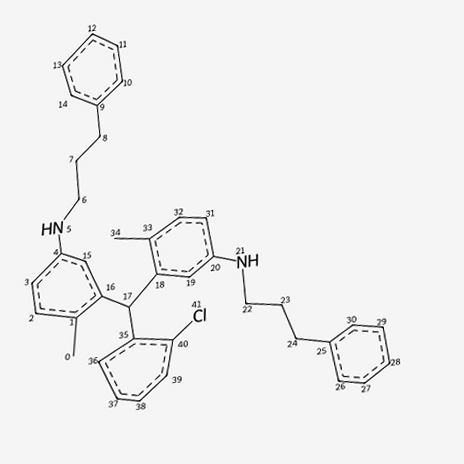 Cc1ccc(NCCCc2ccccc2)cc1C(c1cc(NCCCc2ccccc2)ccc1C)c1ccccc1Cl